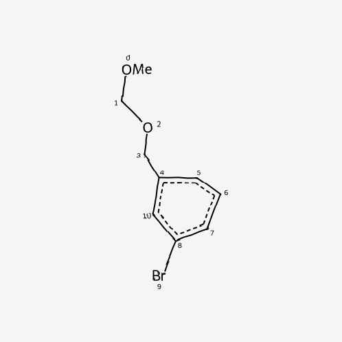 COCO[CH]c1cccc(Br)c1